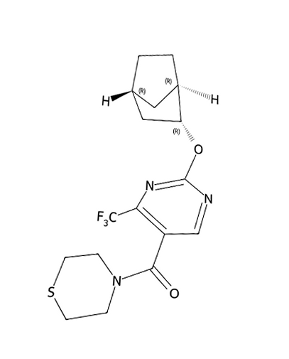 O=C(c1cnc(O[C@@H]2C[C@@H]3CC[C@@H]2C3)nc1C(F)(F)F)N1CCSCC1